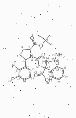 CC(C)(C)OC(=O)C1CSC(c2cccc(F)c2F)N1C(=O)CC(NC(N)=O)(C(=O)O)c1ccccc1